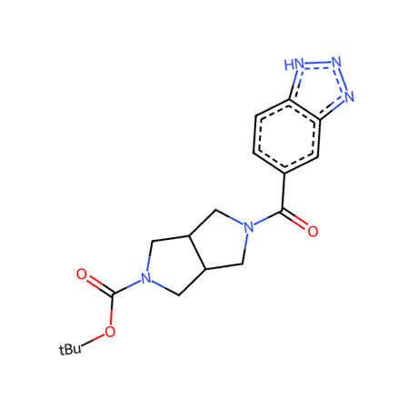 CC(C)(C)OC(=O)N1CC2CN(C(=O)c3ccc4[nH]nnc4c3)CC2C1